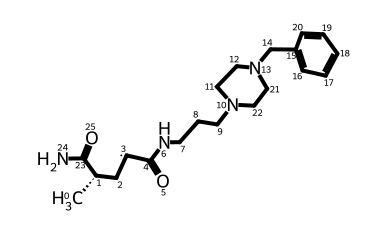 C[C@@H](C[CH]C(=O)NCCCN1CCN(Cc2ccccc2)CC1)C(N)=O